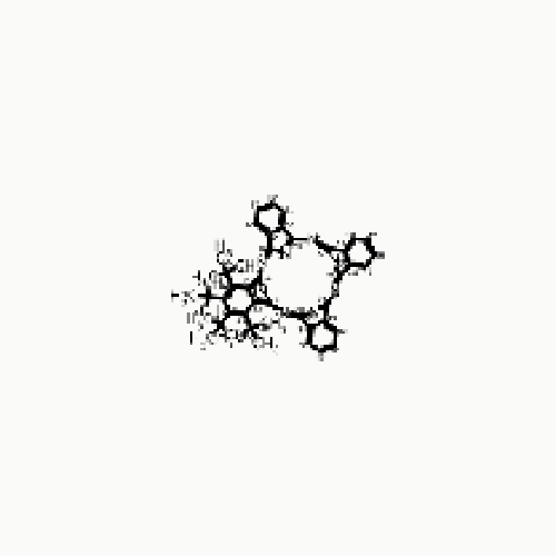 CC(C)(C)c1c(C(C)(C)C)c(C(C)(C)C)c2c3nc4nc(nc5[nH]c(nc6nc(nc([nH]3)c2c1C(C)(C)C)-c1ccccc1-6)c1ccccc51)-c1ccccc1-4